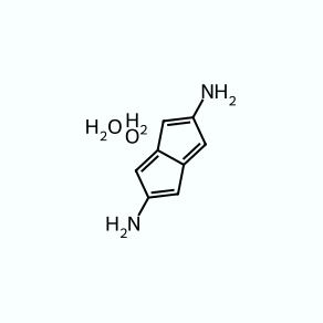 NC1=CC2=CC(N)=CC2=C1.O.O